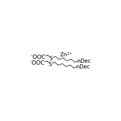 CCCCCCCCCCCCCCCCSCC(=O)[O-].CCCCCCCCCCCCCCCCSCC(=O)[O-].[Zn+2]